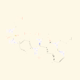 CC(C)CCn1c(=O)c(C2=NS(O)(O)c3cc(NS(=O)(=O)NCCO)ccc3N2)c(O)c2cccnc21